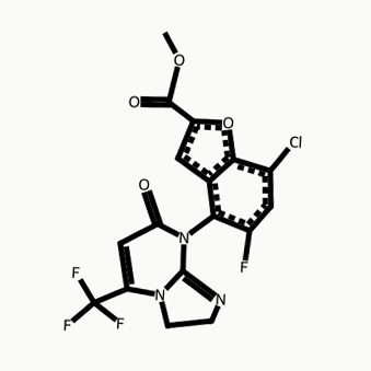 COC(=O)c1cc2c(N3C(=O)C=C(C(F)(F)F)N4CCN=C43)c(F)cc(Cl)c2o1